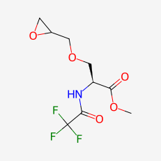 COC(=O)[C@H](COCC1CO1)NC(=O)C(F)(F)F